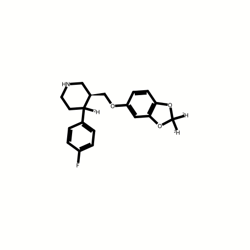 [2H]C1([2H])Oc2ccc(OC[C@@H]3CNCCC3([2H])c3ccc(F)cc3)cc2O1